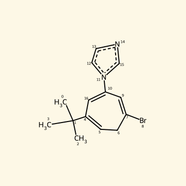 CC(C)(C)C1=CCC(Br)=CC(n2ccnc2)=C1